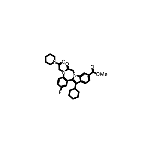 COC(=O)c1ccc2c(C3CCCCC3)c3n(c2c1)CC(=O)N(CC(=O)N1CCCCC1)c1ccc(F)cc1-3